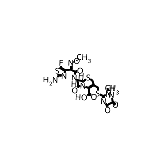 CO/N=C(\C(=O)N[C@@H]1C(=O)N2C(C(=O)O)=C(CSc3nc(=O)c(=O)[nH]n3C)CS[C@H]12)c1nc(N)sc1F